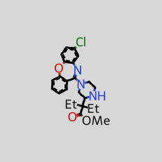 CCC(CC)(C(=O)OC)C1CN(C2=Nc3cc(Cl)ccc3Oc3ccccc32)CCN1